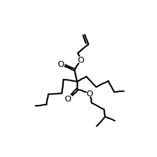 C=CCOC(=O)C(CCCCC)(CCCCC)C(=O)OCCC(C)C